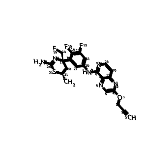 C#CCOc1cnc2c(Nc3cc(F)c(F)c([C@]4(CF)C[C@@H](C)SC(N)=N4)c3)nccc2n1